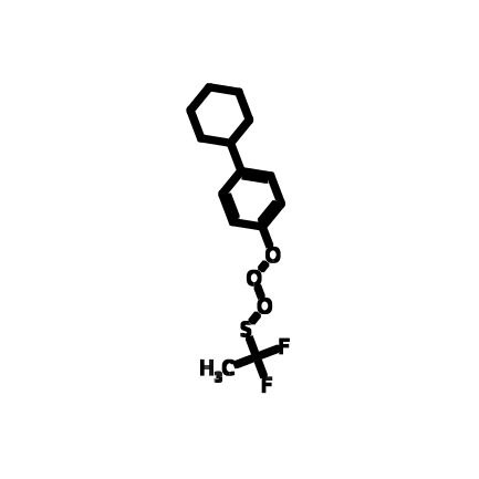 CC(F)(F)SOOOc1ccc(C2CCCCC2)cc1